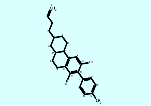 C=CCCC1CCC2c3cc(F)c(-c4ccc(C(F)(F)F)cc4)c(F)c3CCC2C1